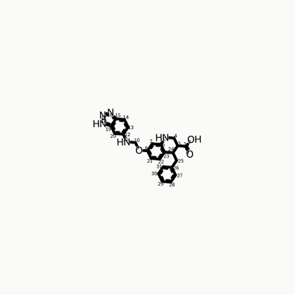 O=C(O)C1CNc2cc(OCNc3ccc4nn[nH]c4c3)ccc2C1Cc1ccccc1